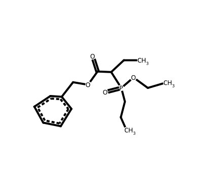 CCCP(=O)(OCC)C(CC)C(=O)OCc1ccccc1